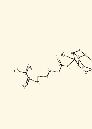 C=C(C)C(=C)OCCOCC(=O)OC1(C)C2CC3CC(C2)CC1C3